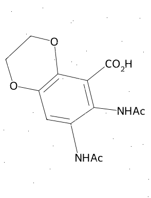 CC(=O)Nc1cc2c(c(C(=O)O)c1NC(C)=O)OCCO2